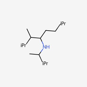 CC(C)CCC(NC(C)C(C)C)C(C)C(C)C